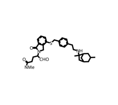 CNC(=O)CCC(C=O)N1Cc2c(SCc3ccc(CCNC4(C)CC5CC(C)CC4C5)cc3)cccc2C1=O